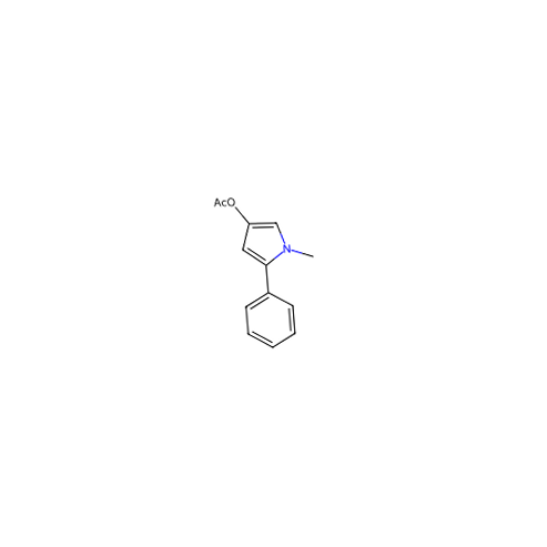 CC(=O)Oc1cc(-c2ccccc2)n(C)c1